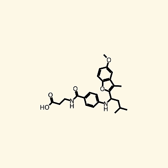 COc1ccc2oc(C(CC(C)C)Nc3ccc(C(=O)NCCC(=O)O)cc3)c(C)c2c1